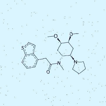 CO[C@H]1C[C@@H](N2CCCC2)[C@H](N(C)C(=O)Cc2cccc3sccc23)C[C@H]1OC